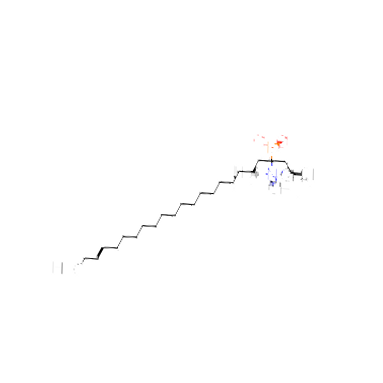 CCC=CCCCCCCCCCCCCCCCCC(CCC)(P(=O)=O)[N+](C)(C)C